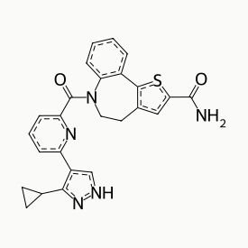 NC(=O)c1cc2c(s1)-c1ccccc1N(C(=O)c1cccc(-c3c[nH]nc3C3CC3)n1)CC2